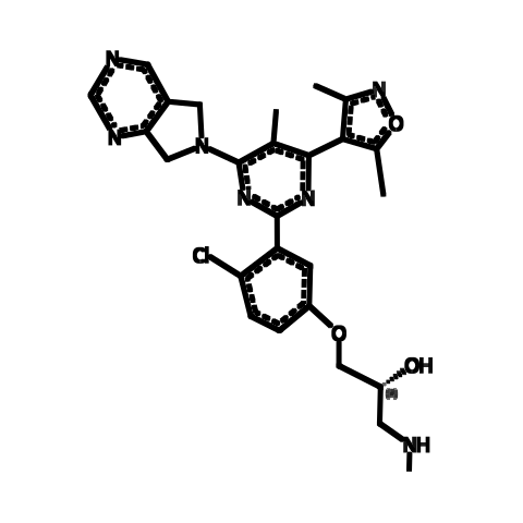 CNC[C@@H](O)COc1ccc(Cl)c(-c2nc(-c3c(C)noc3C)c(C)c(N3Cc4cncnc4C3)n2)c1